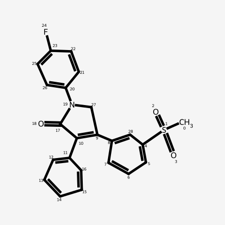 CS(=O)(=O)c1cccc(C2=C(c3ccccc3)C(=O)N(c3ccc(F)cc3)C2)c1